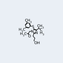 CC(=O)Cn1c(CCCO)nc(C(C)C)c1Sc1cc(C)cc(C)c1